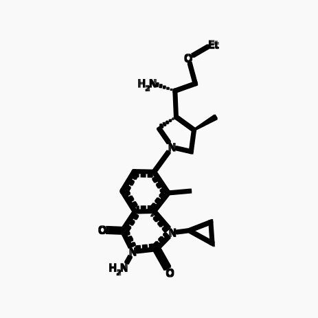 CCOC[C@@H](N)[C@H]1CN(c2ccc3c(=O)n(N)c(=O)n(C4CC4)c3c2C)C[C@@H]1C